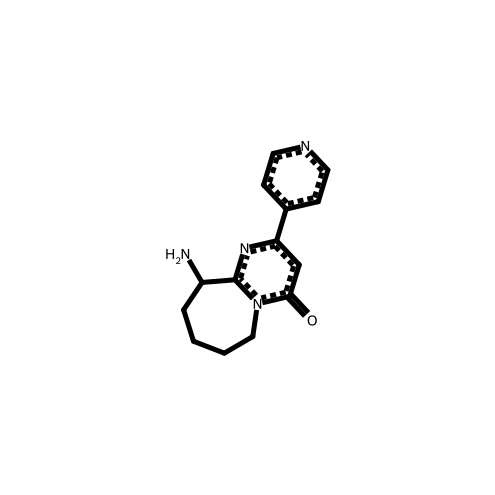 NC1CCCCn2c1nc(-c1ccncc1)cc2=O